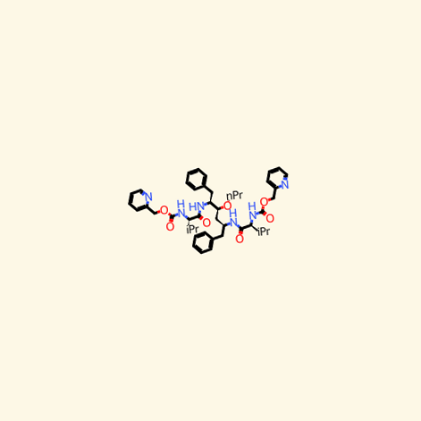 CCCO[C@@H](C[C@H](Cc1ccccc1)NC(=O)[C@@H](NC(=O)OCc1ccccn1)C(C)C)[C@H](Cc1ccccc1)NC(=O)[C@@H](NC(=O)OCc1ccccn1)C(C)C